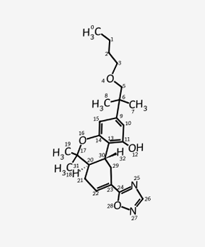 CCCCOCC(C)(C)c1cc(O)c2c(c1)OC(C)(C)[C@@H]1CC=C(c3ncno3)C[C@@H]21